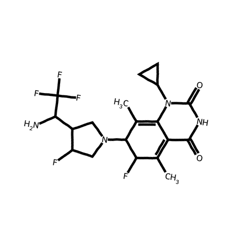 CC1=c2c(=O)[nH]c(=O)n(C3CC3)c2=C(C)C(N2CC(F)C(C(N)C(F)(F)F)C2)C1F